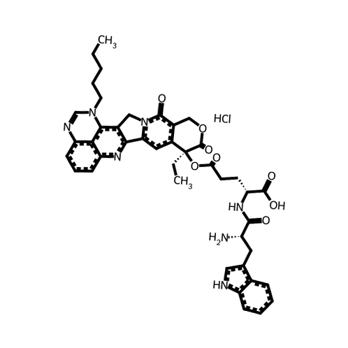 CCCCCN1C=Nc2cccc3nc4c(c1c23)Cn1c-4cc2c(c1=O)COC(=O)[C@@]2(CC)OC(=O)CC[C@@H](NC(=O)[C@@H](N)Cc1c[nH]c2ccccc12)C(=O)O.Cl